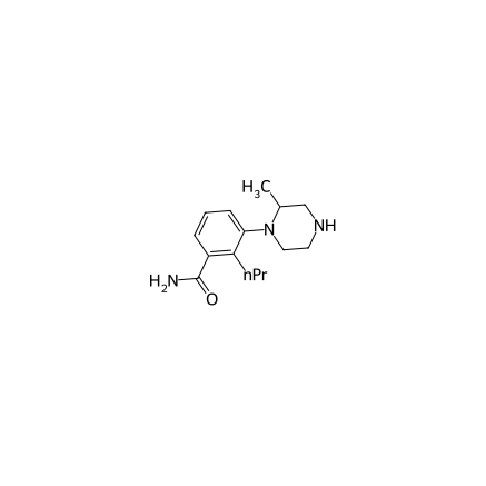 CCCc1c(C(N)=O)cccc1N1CCNCC1C